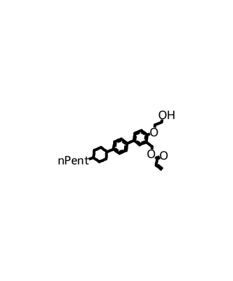 C=CC(=O)OCc1cc(-c2ccc(C3CCC(CCCCC)CC3)cc2)ccc1OCCO